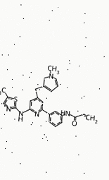 C=CC(=O)Nc1cccc(-c2cc(CC3=CC=CN(C)C3)cc(Nc3ncc(C)s3)n2)c1